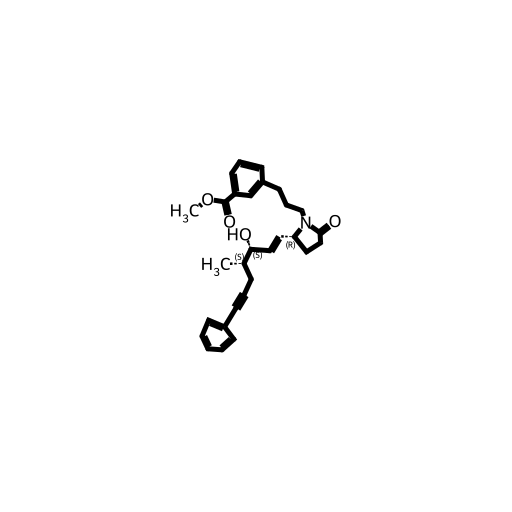 COC(=O)c1cccc(CCCN2C(=O)CC[C@@H]2C=C[C@@H](O)[C@@H](C)CC#Cc2ccccc2)c1